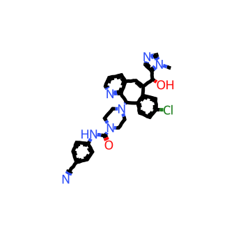 Cn1cncc1C(O)C1=Cc2cccnc2C(N2CCN(C(=O)Nc3ccc(C#N)cc3)CC2)c2ccc(Cl)cc21